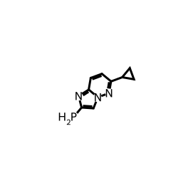 Pc1cn2nc(C3CC3)ccc2n1